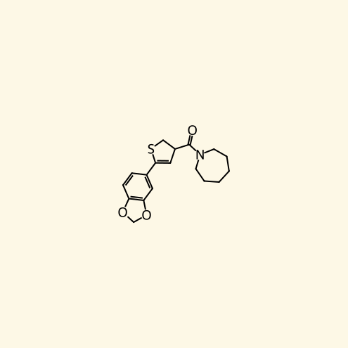 O=C(C1C=C(c2ccc3c(c2)OCO3)SC1)N1CCCCCC1